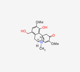 COC1=CC2[C@@H]3Cc4c(CO)cc(OC)c(O)c4[C@]2(CCN3C)CC1=O